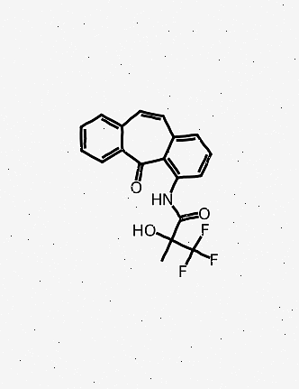 CC(O)(C(=O)Nc1cccc2ccc3ccccc3c(=O)c12)C(F)(F)F